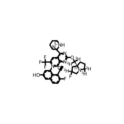 [2H]C1([2H])CC[C@@]2(C([2H])([2H])Oc3nc(N4CC5CCC4CN5)c4cc(C(F)(F)F)n(-c5cc(O)cc6ccc(F)c(C#C)c56)c(=O)c4n3)C[C@@]([2H])(F)CN12